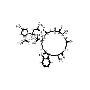 CC[C@H](C)[C@@H]1NC(=O)CNC(=O)C(N)Cc2c([nH]c3ccccc23)SC[C@@H](C(=O)N[C@@](C=O)(CC(N)=O)N2C[C@H](O)C[C@H]2C(N)=O)NC(=O)CNC1=O